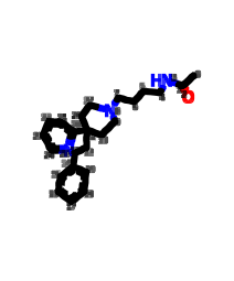 CC(=O)NCCCCN1CCC(CCc2ccccc2)(c2ccccn2)CC1